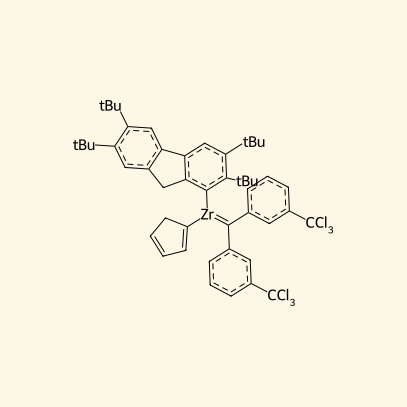 CC(C)(C)c1cc2c(cc1C(C)(C)C)-c1cc(C(C)(C)C)c(C(C)(C)C)[c]([Zr]([C]3=CC=CC3)=[C](c3cccc(C(Cl)(Cl)Cl)c3)c3cccc(C(Cl)(Cl)Cl)c3)c1C2